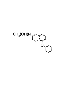 CN(O)C1=Cc2cccc(Oc3ccccc3)c2CC1